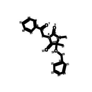 CN1C(=O)N(CC(=O)c2ccccc2)C(=O)C1(C)OCc1ccccc1